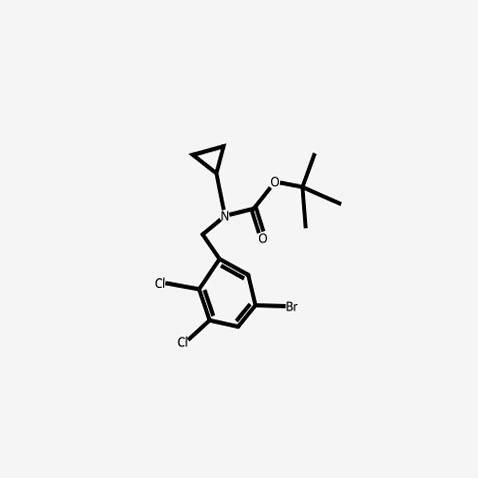 CC(C)(C)OC(=O)N(Cc1cc(Br)cc(Cl)c1Cl)C1CC1